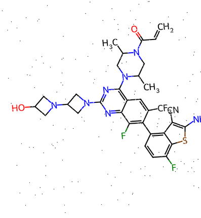 C=CC(=O)N1CC(C)N(c2nc(N3CC(N4CC(O)C4)C3)nc3c(F)c(-c4ccc(F)c5sc(N)c(C#N)c45)c(C(F)(F)F)cc23)CC1C